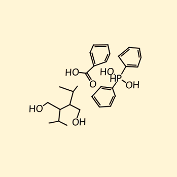 CC(C)C(CO)C(CO)C(C)C.O=C(O)c1ccccc1.O[PH](O)(c1ccccc1)c1ccccc1